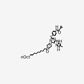 CCCCCCCCC=CCCCCCCCC(=O)N1CCN(c2cc(Nc3cc(C)[nH]n3)nc(Sc3ccc(NC(=O)C4CC4)cc3)n2)CC1